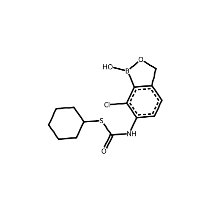 O=C(Nc1ccc2c(c1Cl)B(O)OC2)SC1CCCCC1